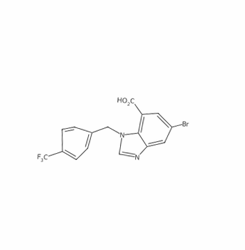 O=C(O)c1cc(Br)cc2ncn(Cc3ccc(C(F)(F)F)cc3)c12